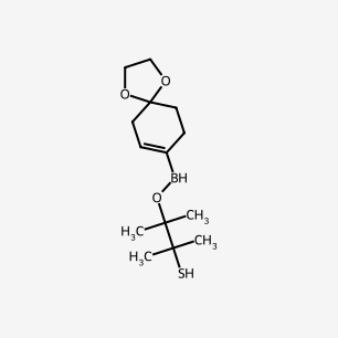 CC(C)(S)C(C)(C)OBC1=CCC2(CC1)OCCO2